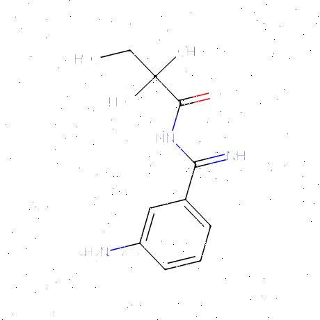 CCC(C)(C)C(=O)NC(=N)c1cccc(N)c1